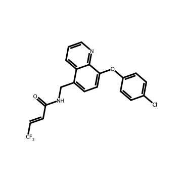 O=C(/C=C/C(F)(F)F)NCc1ccc(Oc2ccc(Cl)cc2)c2ncccc12